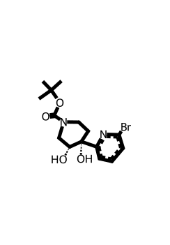 CC(C)(C)OC(=O)N1CC[C@@](O)(c2cccc(Br)n2)[C@H](O)C1